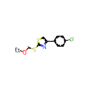 CCO[C]Sc1nc(-c2ccc(Cl)cc2)cs1